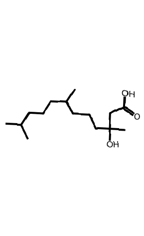 CC(C)CCCC(C)CCCC(C)(O)CC(=O)O